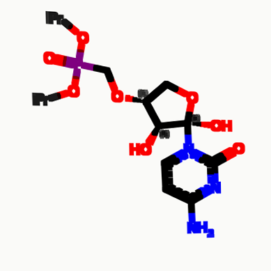 CC(C)OP(=O)(CO[C@@H]1CO[C@@](O)(n2ccc(N)nc2=O)[C@H]1O)OC(C)C